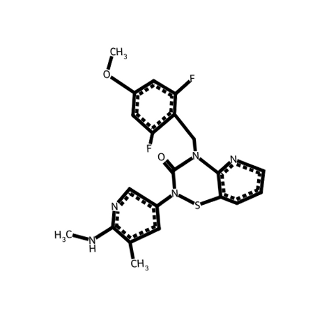 CNc1ncc(N2Sc3cccnc3N(Cc3c(F)cc(OC)cc3F)C2=O)cc1C